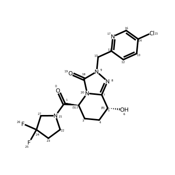 O=C([C@@H]1CC[C@@H](O)c2nn(Cc3ccc(Cl)cn3)c(=O)n21)N1CCC(F)(F)C1